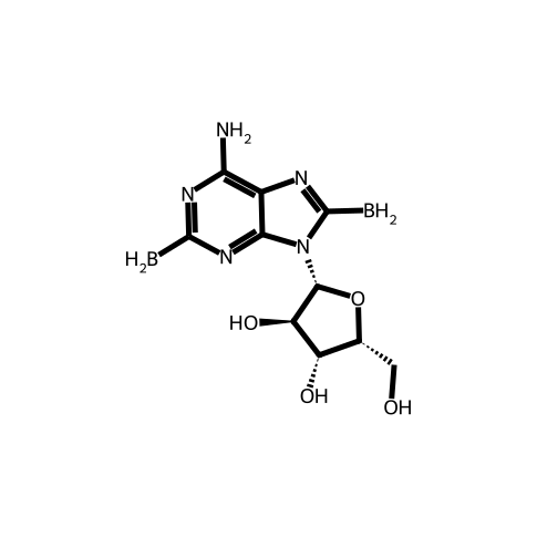 Bc1nc(N)c2nc(B)n([C@@H]3O[C@H](CO)[C@H](O)[C@H]3O)c2n1